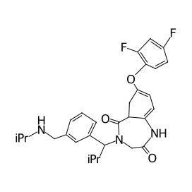 CC(C)NCc1cccc(C(C(C)C)N2CC(=O)NC3=CC=C(Oc4ccc(F)cc4F)CC3C2=O)c1